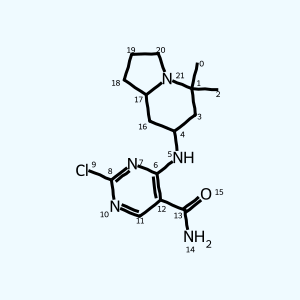 CC1(C)CC(Nc2nc(Cl)ncc2C(N)=O)CC2CCCN21